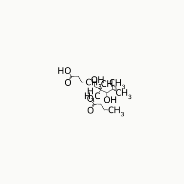 CC(C)C(O)C(C)(C)CO.CCCC(=O)O.CCCC(=O)O